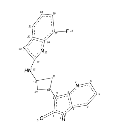 O=c1[nH]c2cccnc2n1C1CC(Nc2nc3c(F)cccc3s2)C1